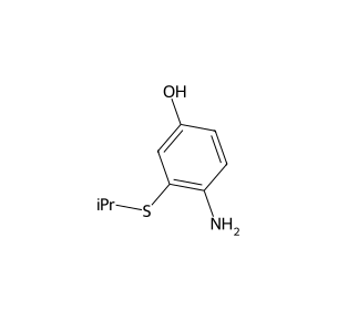 CC(C)Sc1cc(O)ccc1N